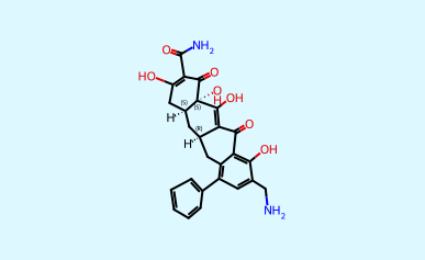 NCc1cc(-c2ccccc2)c2c(c1O)C(=O)C1=C(O)[C@]3(O)C(=O)C(C(N)=O)=C(O)C[C@@H]3C[C@@H]1C2